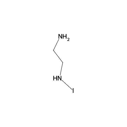 NCCNI